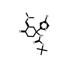 CN(C)C=C1CC(NC(=O)OC(C)(C)C)(c2cc(Br)cs2)CCC1=O